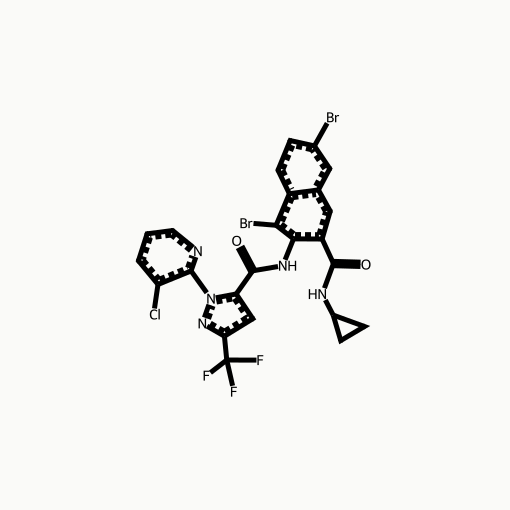 O=C(NC1CC1)c1cc2cc(Br)ccc2c(Br)c1NC(=O)c1cc(C(F)(F)F)nn1-c1ncccc1Cl